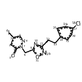 O=c1cc(I)cnn1Cc1nc(CCc2ccc(Cl)cc2)no1